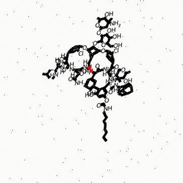 CCCCCCCCNC(=O)Oc1cc(O)c2c(c1)[C@@H](C(=O)NC1C3CC4CC(C3)CC1C4)NC(=O)[C@H]1NC(=O)[C@H](NC(=O)[C@@H]3NC(=O)[C@H](CC(N)=O)NC(=O)[C@H](NC(=O)[C@@H](CC(C)C)NC)[C@H](O)c4ccc(c(Cl)c4)Oc4cc3cc(c4OC3OC(CO)C(O)C(O)C3OC3CC(C)(N)C(O)C(C)O3)Oc3ccc(cc3Cl)[C@H]1OC1CC(C)(N)C(O)C(C)O1)c1ccc(O)c-2c1